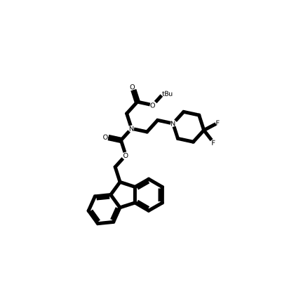 CC(C)(C)OC(=O)CN(CCN1CCC(F)(F)CC1)C(=O)OCC1c2ccccc2-c2ccccc21